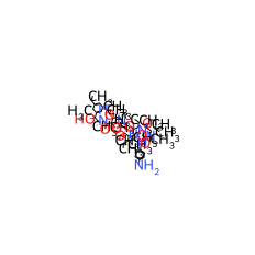 CCC1=CC(C)C=C([C@H](O)[C@@H](C)NC(=O)[C@H](C)[C@@H](OC)[C@@H]2CCCN2C(=O)C[C@@H](OC)[C@H]([C@@H](C)CC)N(C)C(=O)[C@@H](NC(=O)[C@H](C(C)C)N(C)C(=O)OCc2ccc(N)cc2)C(C)C)C1C